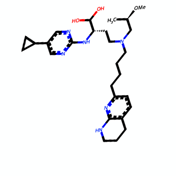 CO[C@H](C)CN(CCCCc1ccc2c(n1)NCCC2)CC[C@H](Nc1ncc(C2CC2)cn1)C(O)O